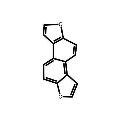 c1cc2c(ccc3c4ccoc4ccc23)o1